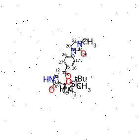 C[C@@H](O[Si](C)(C)C(C)(C)C)[C@H]1C(=O)N[C@@H]1CC(=O)c1ccc(N2CCN(C)C2=O)cc1